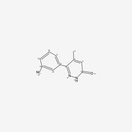 Cc1cc(=O)[nH]nc1-c1cccc(C#N)c1